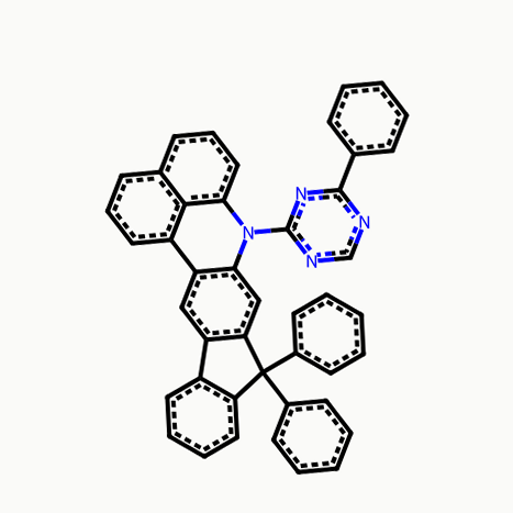 c1ccc(-c2ncnc(N3c4cc5c(cc4-c4cccc6cccc3c46)-c3ccccc3C5(c3ccccc3)c3ccccc3)n2)cc1